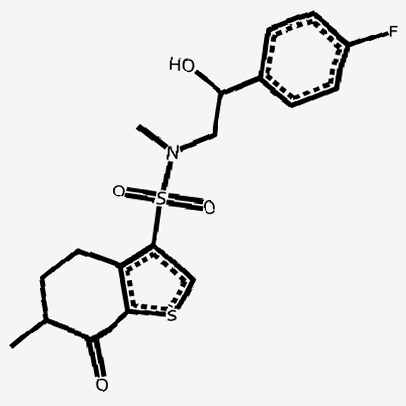 CC1CCc2c(S(=O)(=O)N(C)CC(O)c3ccc(F)cc3)csc2C1=O